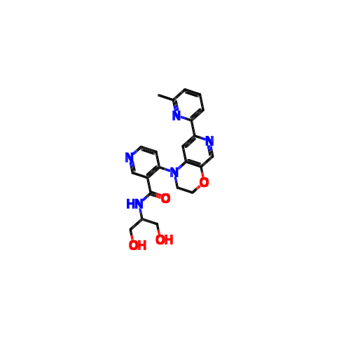 Cc1cccc(-c2cc3c(cn2)OCCN3c2ccncc2C(=O)NC(CO)CO)n1